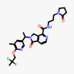 Cc1cc(C(C)N2Cc3c(ccnc3C(=O)NCCCN3CCCC3=O)C2=O)cnc1OCC(C)(F)F